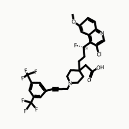 COc1ccc2ncc(Cl)c([C@@H](F)CCC3(CC(=O)O)CCN(CC#Cc4cc(C(F)(F)F)cc(C(F)(F)F)c4)CC3)c2c1